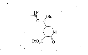 CCOC(=O)C1CC(C(O[SiH](C)C)C(C)(C)C)CNC1=O